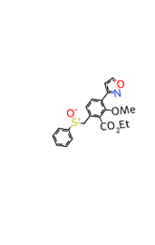 CCOC(=O)c1c(C[S+]([O-])c2ccccc2)ccc(-c2ccon2)c1OC